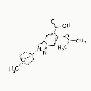 CC(C)Oc1cc2nn(C34CCC(C)(CC3)OC4)cc2cc1C(=O)O